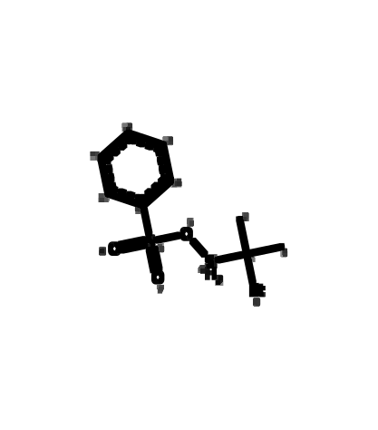 CCC(C)(C)[SiH2]OS(=O)(=O)c1ccccc1